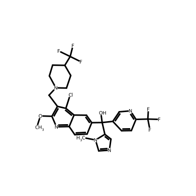 COc1nc2ccc(C(O)(c3ccc(C(F)(F)F)nc3)c3cncn3C)cc2c(Cl)c1CN1CCC(C(F)(F)F)CC1